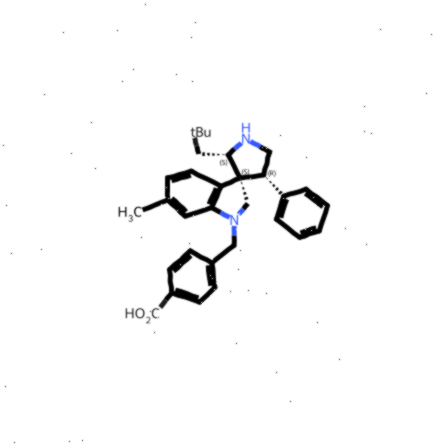 Cc1ccc2c(c1)N(Cc1ccc(C(=O)O)cc1)C[C@@]21[C@H](CC(C)(C)C)NC[C@@H]1c1ccccc1